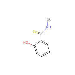 CC(C)(C)NC(=S)c1ccccc1O